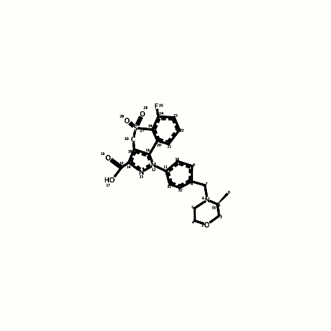 C[C@H]1COCCN1Cc1ccc(-n2nc(C(=O)O)c3c2-c2cccc(F)c2S(=O)(=O)C3)cc1